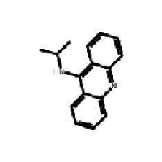 CC(C)Nc1c2ccccc2nc2ccccc12